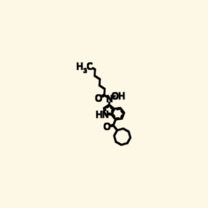 CCCCCCC(=O)N(O)c1c[nH]c2c(C(=O)C3CCCCCCC3)cccc12